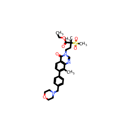 CCOC(=O)C(C)(CCn1cnc2c(C)c(-c3ccc(CN4CCOCC4)cc3)ccc2c1=O)S(C)(=O)=O